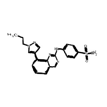 CCCn1cc(-c2cccc3cnc(Nc4ccc(S(N)(=O)=O)cc4)nc23)cn1